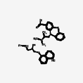 CC(C)NCC(O)COc1cccc2ccccc12.CCC(=O)c1ccc2c(c1)N(CC(C)N(C)C)c1ccccc1S2.Cl